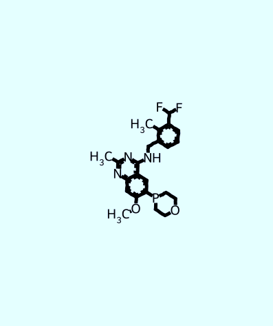 COc1cc2nc(C)nc(NCc3cccc(C(F)F)c3C)c2cc1P1CCOCC1